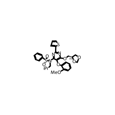 COc1ccccc1Oc1c(OC[C@H]2COCO2)nc(-c2cccs2)nc1N(CC(C)C)S(=O)(=O)c1ccccc1